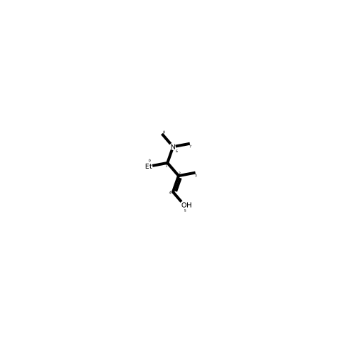 CCC(C(C)=CO)N(C)C